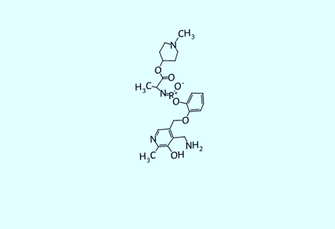 Cc1ncc(COc2ccccc2O[P+]([O-])=NC(C)C(=O)OC2CCN(C)CC2)c(CN)c1O